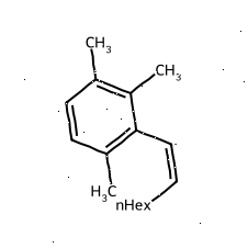 CCCCCC/C=[C]\c1c(C)ccc(C)c1C